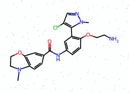 CN1CCOc2cc(C(=O)Nc3ccc(OCCN)c(-c4c(Cl)cnn4C)c3)ccc21